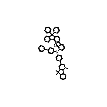 CC1CC(c2ccc(N(c3ccc(-c4ccccc4)cc3)c3cccc4c3oc3c5c(ccc34)C(c3ccccc3)(c3ccccc3)c3ccccc3-5)cc2)=CC2=C1c1ccccc1C2(C)C